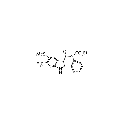 CCOC(=O)N(C(=O)C1CNc2cc(C(F)(F)F)c(SC)cc21)c1ccccc1